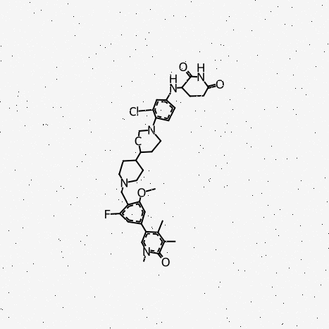 COc1cc(-c2cn(C)c(=O)c(C)c2C)cc(F)c1CN1CCC(C2CCN(c3ccc(NC4CCC(=O)NC4=O)cc3Cl)CC2)CC1